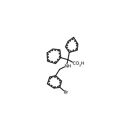 O=C(O)C(NCc1cccc(Br)c1)(c1ccccc1)c1ccccc1